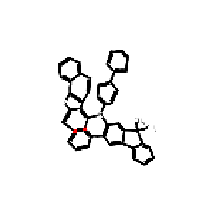 CC1(C)c2ccccc2-c2cc(-c3ccccc3)c(N(c3ccc(-c4ccccc4)cc3)c3cncc4sc5c6ccccc6ccc5c34)cc21